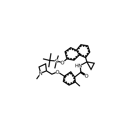 Cc1ccc(OCC2CCN2C)cc1C(=O)NC1(c2cccc3ccc(O[Si](C)(C)C(C)(C)C)cc23)CC1